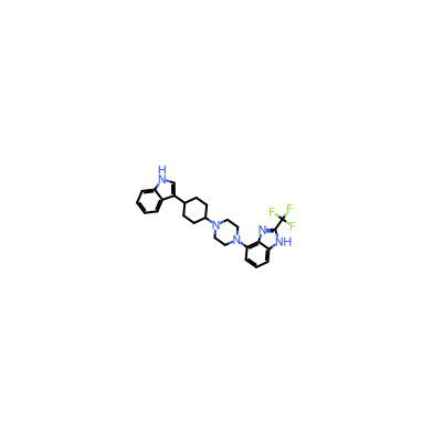 FC(F)(F)c1nc2c(N3CCN(C4CCC(c5c[nH]c6ccccc56)CC4)CC3)cccc2[nH]1